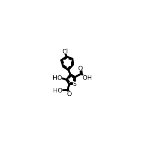 O=C(O)c1sc(C(=O)O)c(-c2ccc(Cl)cc2)c1O